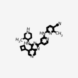 Cc1nc(Nc2cc(-c3nc(NC4CCNCC4C)c4c(C5CCC5)cncc4n3)ccn2)ccc1C#N